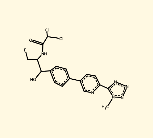 Cn1nnnc1-c1ccc(-c2ccc(C(O)C(CF)NC(=O)C(Cl)Cl)cc2)cn1